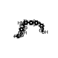 C[C@@H]1CN(CC2CCN(CC(=O)O)CC2)C[C@H](C)N1c1ccc(-c2cnc3[nH]cc(C(=O)c4c(F)ccc(NS(=O)(=O)N5CC[C@@H](F)C5)c4F)c3c2)cc1